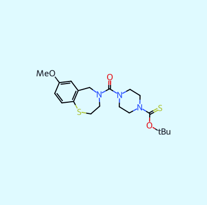 COc1ccc2c(c1)CN(C(=O)N1CCN(C(=S)OC(C)(C)C)CC1)CCS2